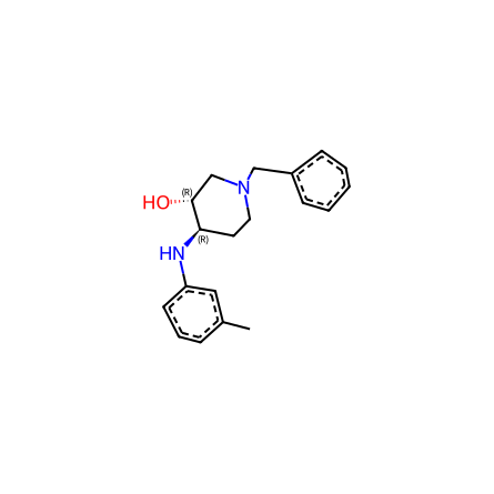 Cc1cccc(N[C@@H]2CCN(Cc3ccccc3)C[C@H]2O)c1